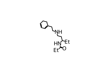 CCC(=O)NC(CC)CCNCCC1=CC=CCC1